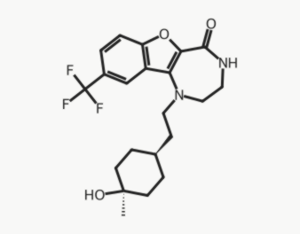 C[C@]1(O)CC[C@@H](CCN2CCNC(=O)c3oc4ccc(C(F)(F)F)cc4c32)CC1